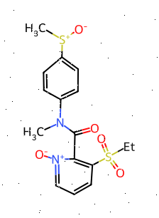 CCS(=O)(=O)c1ccc[n+]([O-])c1C(=O)N(C)c1ccc([S+](C)[O-])cc1